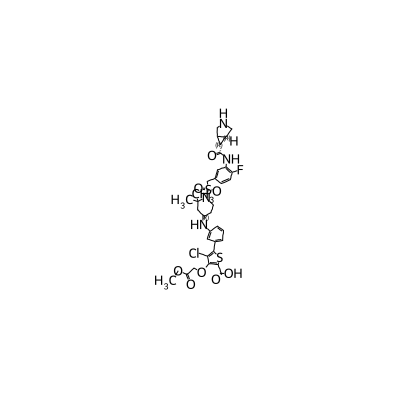 COC(=O)COc1c(C(=O)O)sc(-c2cccc(N[C@@H]3CCN(S(=O)(=O)Cc4ccc(F)c(NC(=O)[C@@H]5C6CNC[C@H]65)c4)C(C)(C)C3)c2)c1Cl